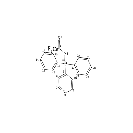 FC(F)(F)C(=S)C=P(c1ccccc1)(c1ccccc1)c1ccccc1